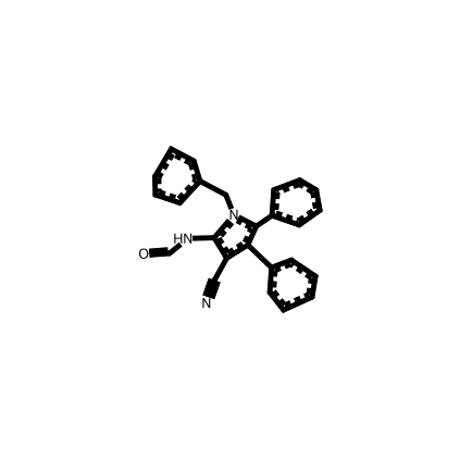 N#Cc1c(-c2ccccc2)c(-c2ccccc2)n(Cc2ccccc2)c1NC=O